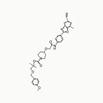 COc1ccc(COCC(C)(C)OC(=O)N2CCC(OCC(=O)Nc3ccc(-c4nc5cc(C#N)cc(C)c5o4)cc3)CC2)cc1